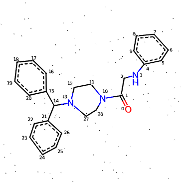 O=C(CNc1ccccc1)N1CCN(C(c2ccccc2)c2ccccc2)CC1